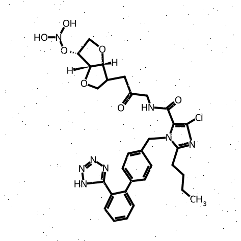 CCCCc1nc(Cl)c(C(=O)NCC(=O)CC2CO[C@H]3[C@@H]2OC[C@H]3ON(O)O)n1Cc1ccc(-c2ccccc2-c2nnn[nH]2)cc1